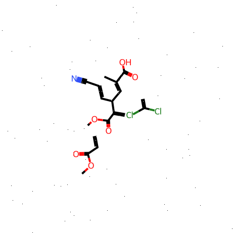 C=C(C(=O)OC)C(C=CC#N)C=C(C)C(=O)O.C=C(Cl)Cl.C=CC(=O)OC